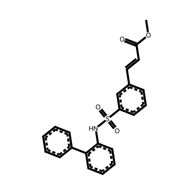 COC(=O)C=Cc1cccc(S(=O)(=O)Nc2ccccc2-c2ccccc2)c1